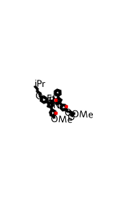 COC(=O)COc1ccc(C2=CC(c3ccccc3)=N/C2=N\c2c(-c3ccc(OC)cc3)cc(-c3ccc(OCCCCC(C)C)cc3)n2B(F)F)cc1